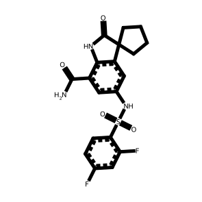 NC(=O)c1cc(NS(=O)(=O)c2ccc(F)cc2F)cc2c1NC(=O)C21CCCC1